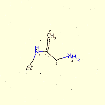 C=C(CN)NCC